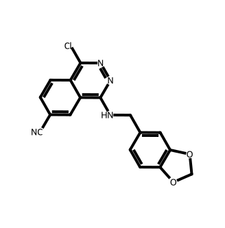 N#Cc1ccc2c(Cl)nnc(NCc3ccc4c(c3)OCO4)c2c1